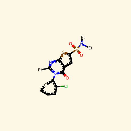 CCc1nc2sc(S(=O)(=O)N(CC)CC)cc2c(=O)n1-c1ccccc1Cl